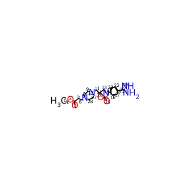 CCOC(=O)CCN1CCN(CC2CN(c3ccc(C(=N)N)cc3)C(=O)O2)CC1